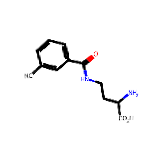 N#Cc1cccc(C(=O)NCCC(N)C(=O)O)c1